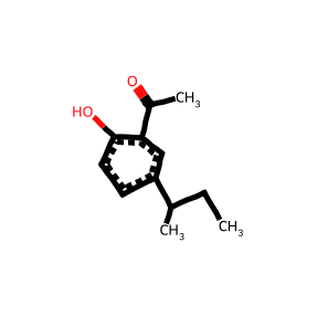 CCC(C)c1ccc(O)c(C(C)=O)c1